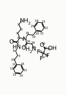 NCCCC(C(=O)NCCCc1ccccc1)N(CCc1ccccc1)C(=O)CN.O=C(O)C(F)(F)F